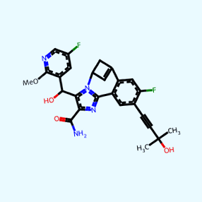 COc1ncc(F)cc1C(O)c1c(C(N)=O)nc2n1C1C=C(C1)c1cc(F)c(C#CC(C)(C)O)cc1-2